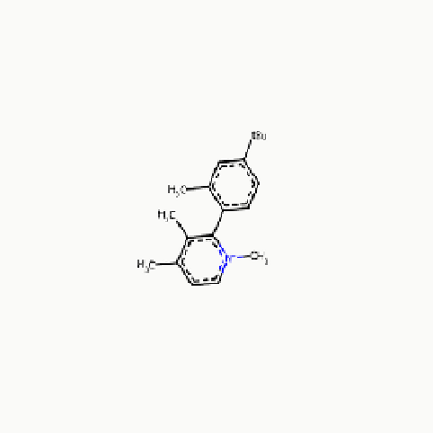 Cc1cc(C(C)(C)C)ccc1-c1c(C)c(C)cc[n+]1C